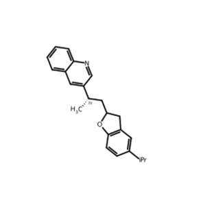 CC(C)c1ccc2c(c1)CC(C[C@H](C)c1cnc3ccccc3c1)O2